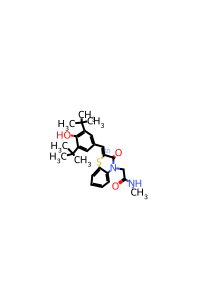 CNC(=O)CN1C(=O)/C(=C/c2cc(C(C)(C)C)c(O)c(C(C)(C)C)c2)Sc2ccccc21